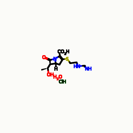 C[C@@H](O)[C@H]1C(=O)N2C(C(=O)O)=C(SCCNC=N)C[C@H]12.Cl.O